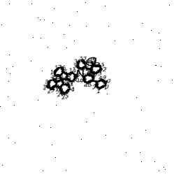 c1ccc(-c2ccc(N(c3ccc4c(c3)-c3ccccc3C43c4ccccc4-c4ccccc43)c3cccc4oc5ccccc5c34)cc2)cc1